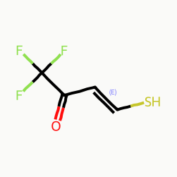 O=C(/C=C/S)C(F)(F)F